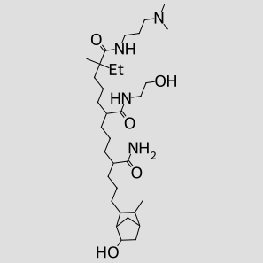 CCC(C)(CCCC(CCCC(CCCC1C(C)C2CC(O)C1C2)C(N)=O)C(=O)NCCO)C(=O)NCCCN(C)C